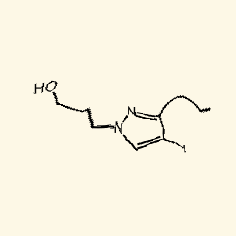 CCc1nn(CCCO)cc1I